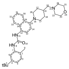 Cc1ccc(C(C)(C)C)cc1NC(=O)Nc1ccc(N2CCC(CN3CCOCC3)CC2)c2ccccc12